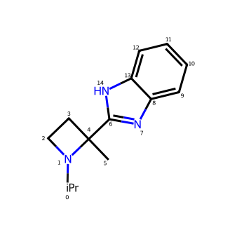 CC(C)N1CCC1(C)c1nc2ccccc2[nH]1